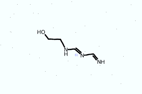 N=C/N=C/NCCO